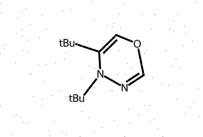 CC(C)(C)C1=COC=NN1C(C)(C)C